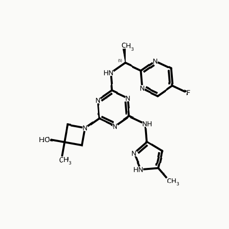 Cc1cc(Nc2nc(N[C@@H](C)c3ncc(F)cn3)nc(N3CC(C)(O)C3)n2)n[nH]1